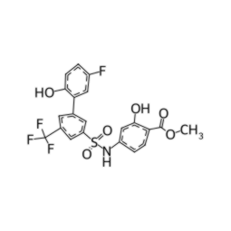 COC(=O)c1ccc(NS(=O)(=O)c2cc(-c3cc(F)ccc3O)cc(C(F)(F)F)c2)cc1O